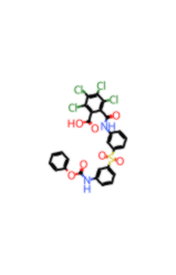 O=C(Nc1cccc(S(=O)(=O)c2cccc(NC(=O)c3c(Cl)c(Cl)c(Cl)c(Cl)c3C(=O)O)c2)c1)Oc1ccccc1